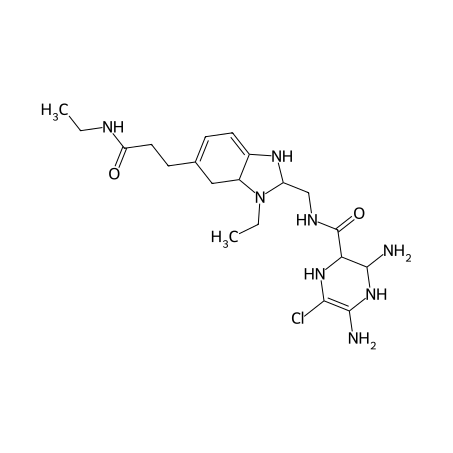 CCNC(=O)CCC1=CC=C2NC(CNC(=O)C3NC(Cl)=C(N)NC3N)N(CC)C2C1